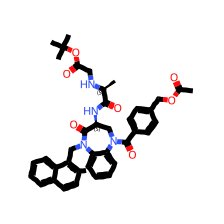 CC(=O)OCc1ccc(C(=O)N2C[C@H](NC(=O)[C@H](C)NCC(=O)OC(C)(C)C)C(=O)N(Cc3c(C)ccc4ccccc34)c3ccccc32)cc1